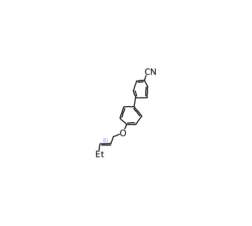 CC/C=C/COc1ccc(-c2ccc(C#N)cc2)cc1